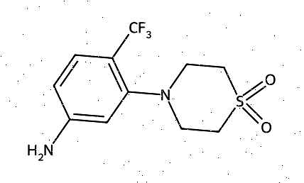 Nc1ccc(C(F)(F)F)c(N2CCS(=O)(=O)CC2)c1